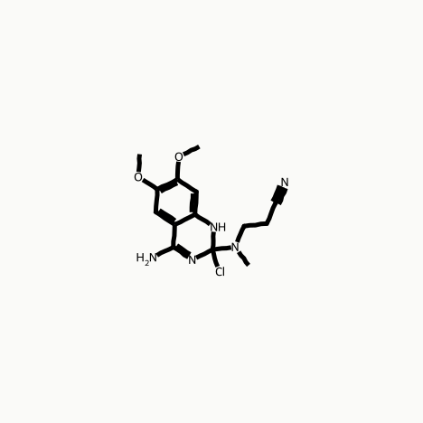 COc1cc2c(cc1OC)C(N)=NC(Cl)(N(C)CCC#N)N2